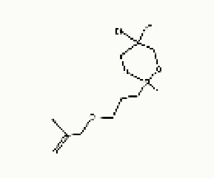 C=C(C)COCCC[Si]1(C)OCC(CC)(CC)CO1